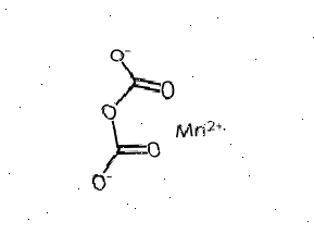 O=C([O-])OC(=O)[O-].[Mn+2]